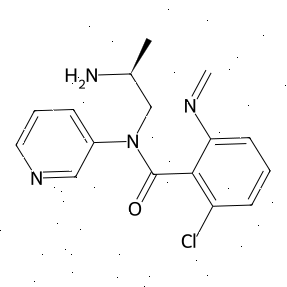 C=Nc1cccc(Cl)c1C(=O)N(C[C@H](C)N)c1cccnc1